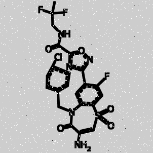 CC(F)(F)CNC(=O)c1nc(-c2cc3c(cc2F)S(=O)(=O)C=C(N)C(=O)N3Cc2ccc(Cl)cc2)no1